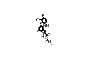 CCOC(=O)c1cc2c(Nc3ccc(F)c(Cl)c3)c(F)cc(F)c2[nH]1